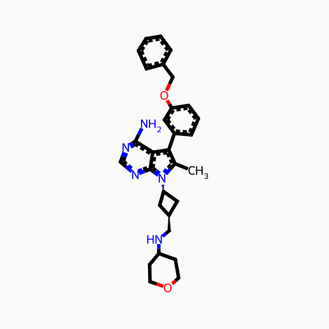 Cc1c(-c2cccc(OCc3ccccc3)c2)c2c(N)ncnc2n1[C@H]1C[C@H](CNC2CCOCC2)C1